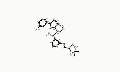 CC1(C)OCC(COc2cc(C(O)N3CCOc4ccc(-c5cccc(C(F)(F)F)c5)nc43)ccn2)O1